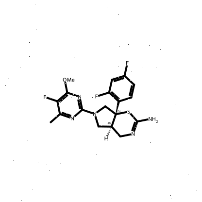 COc1nc(N2C[C@@H]3CN=C(N)S[C@@]3(c3ccc(F)cc3F)C2)nc(C)c1F